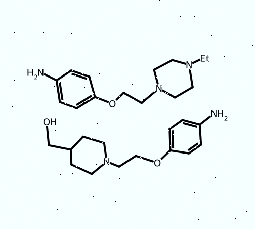 CCN1CCN(CCOc2ccc(N)cc2)CC1.Nc1ccc(OCCN2CCC(CO)CC2)cc1